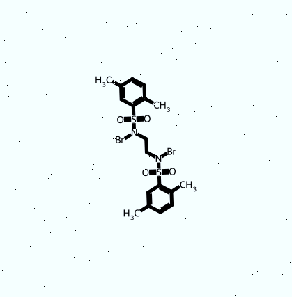 Cc1ccc(C)c(S(=O)(=O)N(Br)CCN(Br)S(=O)(=O)c2cc(C)ccc2C)c1